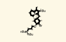 CCCCc1c(C)c2ccccn2c1Cc1ccc(OCCCN(CCCC)CCCC)c(Br)c1